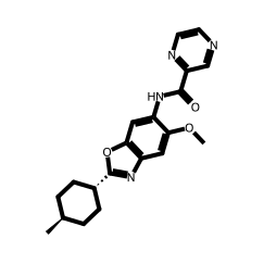 COc1cc2nc([C@H]3CC[C@H](C)CC3)oc2cc1NC(=O)c1cnccn1